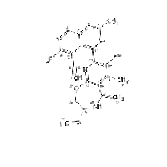 C#Cc1c(F)ccc2cc(C)cc(-c3nc4c(c(C)c3F)C(=C)N[C@H](CO)CO4)c12